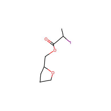 CC(I)C(=O)OCC1CCCO1